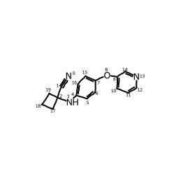 N#CC1(Nc2ccc(Oc3cccnc3)cc2)CCC1